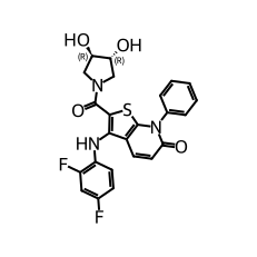 O=C(c1sc2c(ccc(=O)n2-c2ccccc2)c1Nc1ccc(F)cc1F)N1C[C@@H](O)[C@H](O)C1